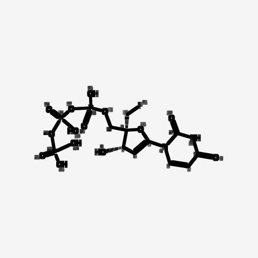 O=c1ccn(C2=C[C@H](O)[C@@](CF)(COP(=O)(O)OP(=O)(O)OP(=O)(O)O)O2)c(=O)[nH]1